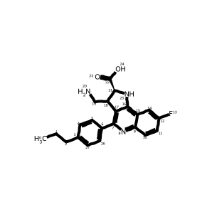 CCCc1ccc(-c2nc3ccc(F)cc3c3c2C(CN)[C@@H](C(=O)O)N3)cc1